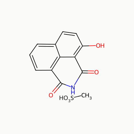 CS(=O)(=O)O.O=C1NC(=O)c2c(O)ccc3cccc1c23